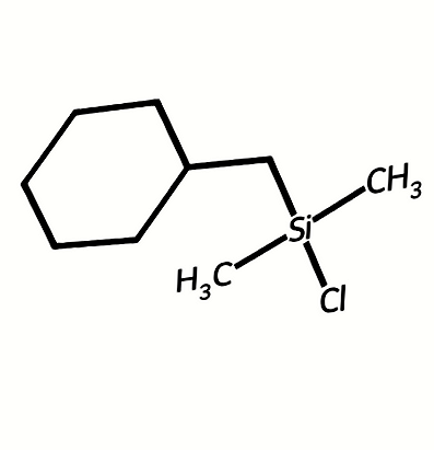 C[Si](C)(Cl)CC1CCCCC1